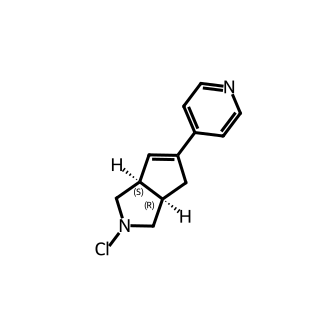 ClN1C[C@@H]2CC(c3ccncc3)=C[C@@H]2C1